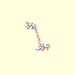 CC(OCCOCCOCCOCCOC(C)C(NC(=O)C1CCCN1C)C(N)=O)C(N)C(=O)N1CCCC1C=O